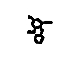 COc1cc(Br)cc(OC)c1Oc1ccccc1